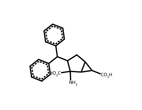 NC1(C(=O)O)C(C(c2ccccc2)c2ccccc2)CC2C(C(=O)O)C21